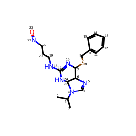 CC(C)N1C=NC2C(SCc3ccccc3)N=C(NCCCN=O)NC21